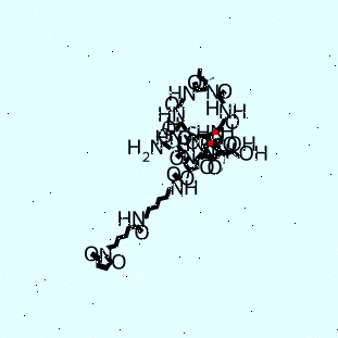 CC[C@H](C)[C@@H]1NC(=O)CNC(=O)[C@@H]2Cc3c([nH]c4cc(OC)ccc34)S(=O)(=O)C[C@H](NC(=O)CNC1=O)C(=O)N[C@@H](CC(N)=O)C(=O)N1C[C@H](OC(=O)NCCCCCCNC(=O)CCCCCN3C(=O)C=CC3=O)CC1C(=O)N[C@@H]([C@@H](C)[C@@H](O)CO)C(=O)N2